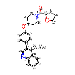 CNc1c(-c2ccc(OC3CCN(C(=O)[C@H]4CCCO4)CC3)cc2)cnc2ccccc12